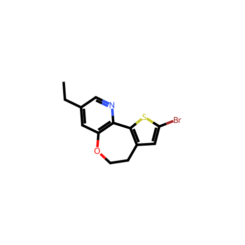 CCc1cnc2c(c1)OCCc1cc(Br)sc1-2